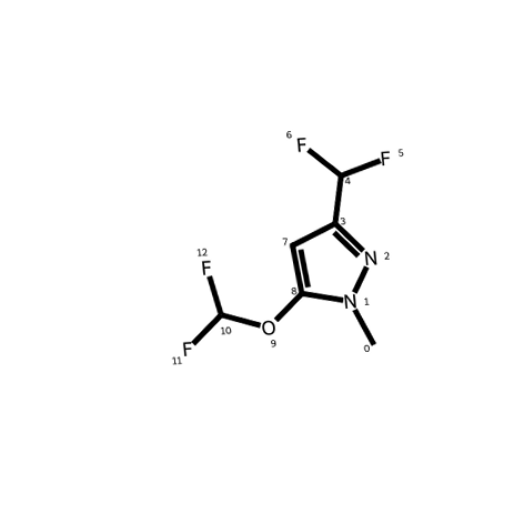 Cn1nc(C(F)F)cc1OC(F)F